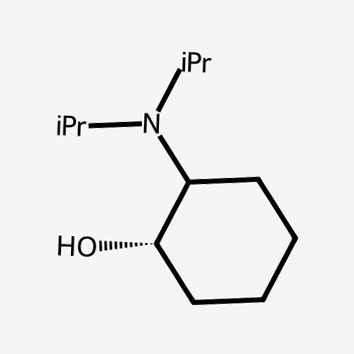 CC(C)N(C(C)C)C1CCCC[C@@H]1O